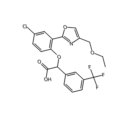 CCOCc1coc(-c2cc(Cl)ccc2OC(C(=O)O)c2cccc(C(F)(F)F)c2)n1